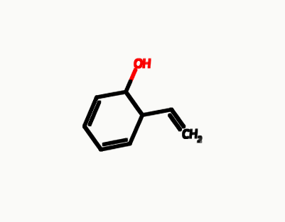 C=CC1C=CC=CC1O